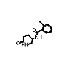 Cc1ccccc1C(=O)N[C@H]1CCC(=O)NC1